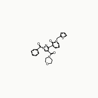 O=C(c1cn(C(=O)c2ccccc2)nc1-c1cccn(Cc2cccs2)c1=O)N1CCOCC1